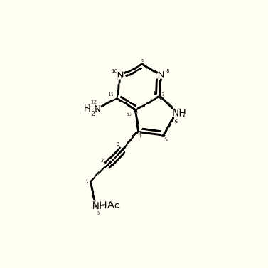 CC(=O)NCC#Cc1c[nH]c2ncnc(N)c12